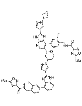 CC(C)(C)c1nc(C(=O)NCc2ccc(-c3ccnc4[nH]c(-c5cnn(C6CCOC(c7cnc8[nH]c(-c9cnn(C%10COC%10)c9)nc8c7-c7ccc(CNC(=O)c8noc(C(C)(C)C)n8)c(F)c7)C6)c5)nc34)cc2F)no1